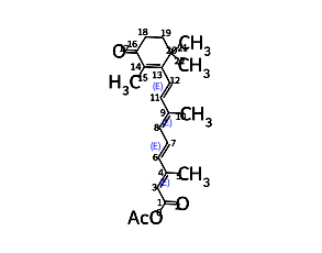 CC(=O)OC(=O)/C=C(C)/C=C/C=C(C)/C=C/C1=C(C)C(=O)CCC1(C)C